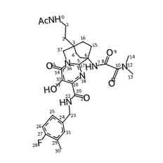 CC(=O)NCCC12CCC(NC(=O)C(=O)N(C)C)(CC1)c1nc(C(=O)NCc3ccc(F)c(C)c3)c(O)c(=O)n1C2